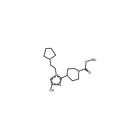 CC(C)(C)OC(=O)N1CCC(c2nc(C#N)cn2CCN2CCCC2)CC1